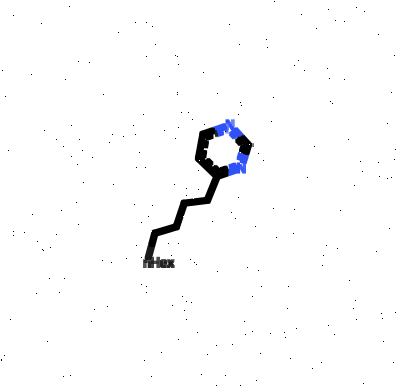 CCCCCCCCCCc1ccn[c]n1